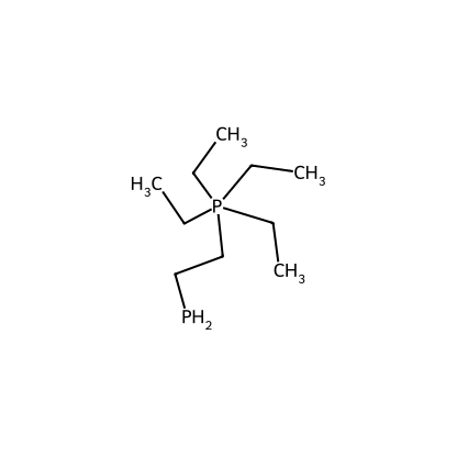 CCP(CC)(CC)(CC)CCP